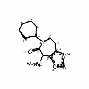 CNC1C(=O)N(C2CCCCC2)CCc2ncoc21